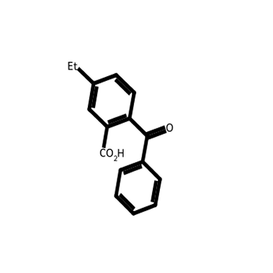 CCc1ccc(C(=O)c2ccccc2)c(C(=O)O)c1